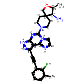 CC(C)c1cccc(C#Cc2n[nH]c3nc(N4CCC5(CC4)CO[C@@H](C)[C@H]5N)n4ccnc4c23)c1F